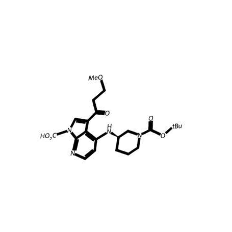 COCCC(=O)c1cn(C(=O)O)c2nccc(N[C@@H]3CCCN(C(=O)OC(C)(C)C)C3)c12